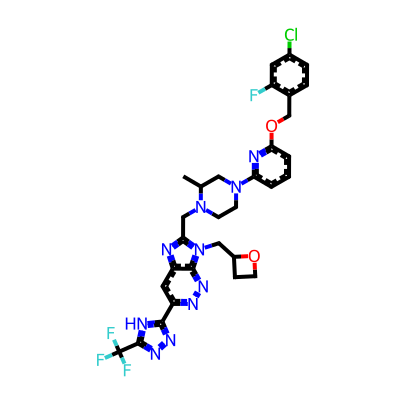 CC1CN(c2cccc(OCc3ccc(Cl)cc3F)n2)CCN1Cc1nc2cc(-c3nnc(C(F)(F)F)[nH]3)nnc2n1CC1CCO1